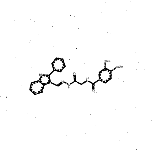 COc1ccc(C(=O)NCC(=O)N/N=C/c2c(-c3ccccc3)[nH]c3ccccc23)cc1OC